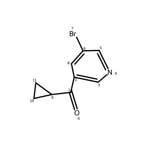 O=C(c1cncc(Br)c1)C1CC1